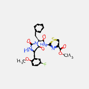 COC(=O)c1csc(NC(=O)[C@H](Cc2ccccc2)N2C(=O)NC(c3cc(F)ccc3OC)C2=O)n1